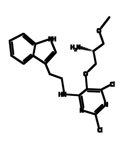 COC[C@@H](N)COc1c(Cl)nc(Cl)nc1NCCc1c[nH]c2ccccc12